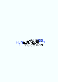 CCCCCCCCCCC(c1ccc(N)cc1)c1ccc(CC(CCCCCCC)Cc2ccc(C(CCCCCCCCCC)c3ccc(N)cc3)cc2)cc1